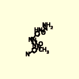 CN(C(=O)c1cn2c(-c3ccc(NC(=O)C4(CN)CC4)cc3)cnc2cn1)c1ccc(C#N)cc1